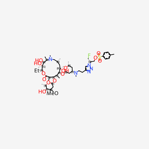 CC[C@H]1OC(=O)[C@H](C)[C@@H](O[C@H]2C[C@@](C)(OC)[C@@H](O)[C@H](C)O2)[C@H](C)[C@@H](O[C@H]2C[C@@H](N(C)CCc3cn([C@H](CF)COS(=O)(=O)c4ccc(C)cc4)nn3)C[C@@H](C)O2)[C@](C)(O)C[C@@H](C)CN(C)[C@H](C)[C@@H](O)[C@]1(C)O